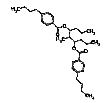 CCCCc1ccc(C(=O)OC(CCC)C(C)C(CCC)OC(=O)c2ccc(CCCC)cc2)cc1